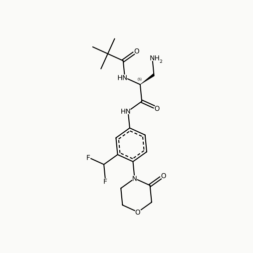 CC(C)(C)C(=O)N[C@@H](CN)C(=O)Nc1ccc(N2CCOCC2=O)c(C(F)F)c1